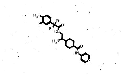 CCC(CC)(C(=O)NCC(N)C1CCC(C(=O)Nc2ccncc2)CC1)c1ccc(C)c(F)c1